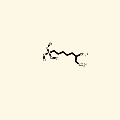 CCO[Si](CCCCCC(CC(=O)O)C(=O)O)(OCC)OCC